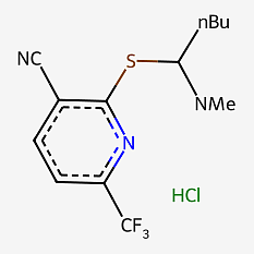 CCCCC(NC)Sc1nc(C(F)(F)F)ccc1C#N.Cl